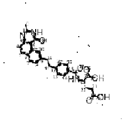 Cc1nc2ccc3ccc(CCc4ccc(C(=O)N[C@@H](CCC(=O)O)C(=O)O)cc4)cc3c2c(=O)[nH]1